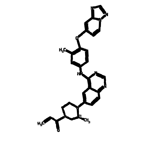 C=CC(=O)N1CCN(c2ccc3ncnc(Nc4ccc(Oc5ccn6ncnc6c5)c(C)c4)c3c2)[C@@H](C)C1